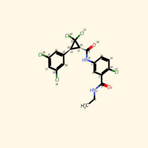 CCNC(=O)c1cc(NC(=O)[C@@H]2[C@@H](c3cc(Cl)cc(Cl)c3)C2(Cl)Cl)ccc1Cl